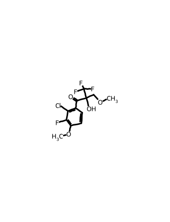 COCC(O)(C(=O)c1ccc(OC)c(F)c1Cl)C(F)(F)F